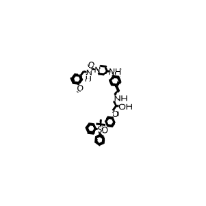 COc1cccc(CNC(=O)N2CCC(Nc3ccc(CCNCC(O)COc4ccc(O[Si](c5ccccc5)(c5ccccc5)C(C)(C)C)cc4)cc3)CC2)c1